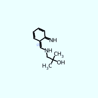 CC(C)(O)CN/C=C1/C=CC=CC1=N